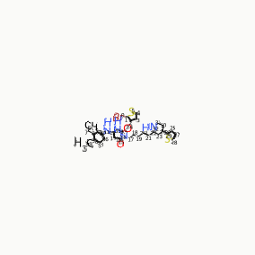 Brc1cccs1.CCc1cc(Nc2cc(=O)n(CCCCCC3CC(c4cccs4)=CCN3)c(=O)[nH]2)ccc1C